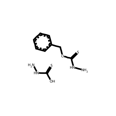 NNC(=S)OCc1ccccc1.NNC(O)=S